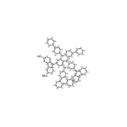 CC(C)(C)c1ccc2c(c1)c1cc(C(C)(C)C)ccc1n2-c1cc2c3c(c1)N(c1ccc4c5ccccc5c5ccccc5c4c1)c1cc(-n4c5ccccc5c5ccccc54)ccc1B3c1cc(-c3ccccc3)ccc1N2c1ccc(-c2ccccc2)cc1